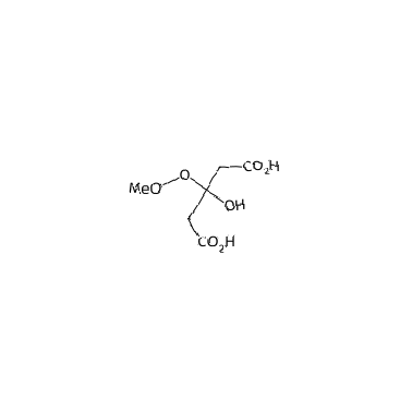 COOC(O)(CC(=O)O)CC(=O)O